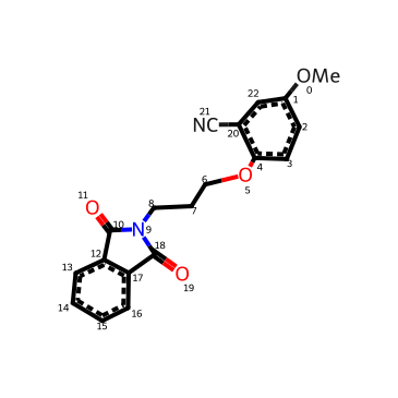 COc1ccc(OCCCN2C(=O)c3ccccc3C2=O)c(C#N)c1